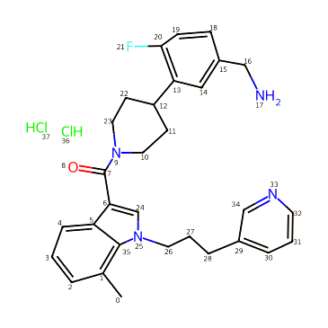 Cc1cccc2c(C(=O)N3CCC(c4cc(CN)ccc4F)CC3)cn(CCCc3cccnc3)c12.Cl.Cl